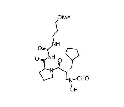 COCCCNC(=O)NC(=O)[C@@H]1CCCN1C(=O)[C@H](CC1CCCC1)CN(O)C=O